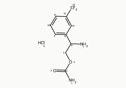 Cl.NC(=O)OCC(N)c1cccc(C(F)(F)F)c1